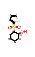 O=S(=O)(c1cccs1)C1C[CH]CCC1O